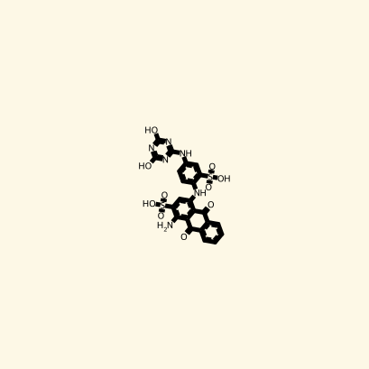 Nc1c(S(=O)(=O)O)cc(Nc2ccc(Nc3nc(O)nc(O)n3)cc2S(=O)(=O)O)c2c1C(=O)c1ccccc1C2=O